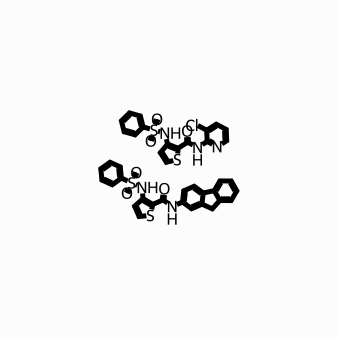 O=C(Nc1ccc2c(c1)Cc1ccccc1-2)c1sccc1NS(=O)(=O)c1ccccc1.O=C(Nc1ncccc1Cl)c1sccc1NS(=O)(=O)c1ccccc1